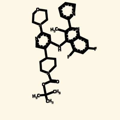 Cc1c(-c2ccccn2)nc2cc(F)cc(F)c2c1Nc1cc(N2CCOCC2)ncc1C1CCN(C(=O)OC(C)(C)C)CC1